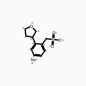 O=S(=O)([O-])Cc1ccccc1C1CCOC1.[Na+]